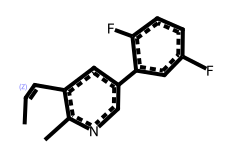 C/C=C\c1cc(-c2cc(F)ccc2F)cnc1C